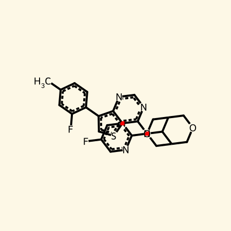 Cc1ccc(-c2csc3c(OC4C5COCC4CN(c4ncc(F)cn4)C5)ncnc23)c(F)c1